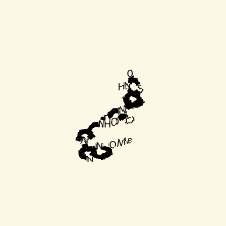 COc1ccc2nccc(N3CCC(CNC[C@@H]4CN(c5ccc6c(c5)NC(=O)CS6)C(=O)O4)C3)c2n1